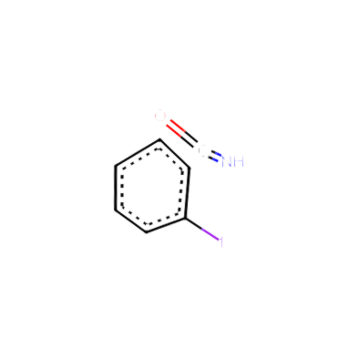 Ic1ccccc1.N=C=O